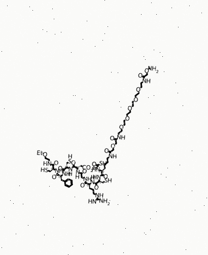 CCOCCNC(=O)[C@H](CS)NC(=O)[C@H](Cc1ccccc1)NC(=O)[C@H](CS)NC(=O)[C@H](CC(=O)O)NC(=O)CNC(=O)[C@H](CCCNC(=N)N)NC(=O)[C@H](CS)NC(=O)[C@H](CCCCNC(=O)COCC(=O)NCCOCCOCCOCCOCCOCCNC(=O)CON)NC(=O)S